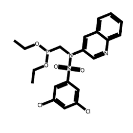 CCOP(CN(c1cnc2ccccc2c1)S(=O)(=O)c1cc(Cl)cc(Cl)c1)OCC